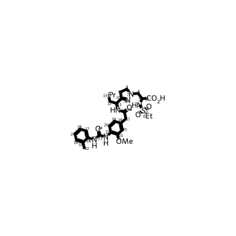 CCS(=O)(=O)NC(CN1CCC(C(CC(C)C)NC(=O)Cc2ccc(NC(=O)Nc3ccccc3C)c(OC)c2)=N1)C(=O)O